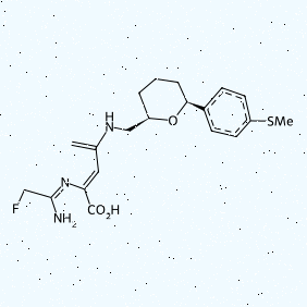 C=C(/C=C(\N=C(/N)CF)C(=O)O)NC[C@H]1CCC[C@@H](c2ccc(SC)cc2)O1